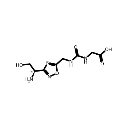 N[C@@H](CO)c1noc(CNC(=O)NCC(=O)O)n1